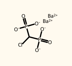 O=P([O-])([O-])C(Cl)P(=O)([O-])[O-].[Ba+2].[Ba+2]